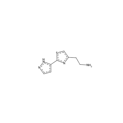 NCCc1csc(-c2ccn[nH]2)n1